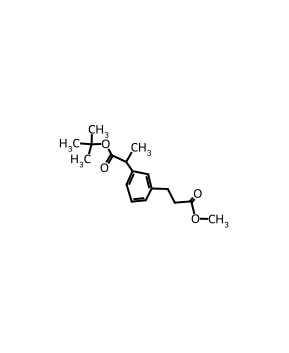 COC(=O)CCc1cccc(C(C)C(=O)OC(C)(C)C)c1